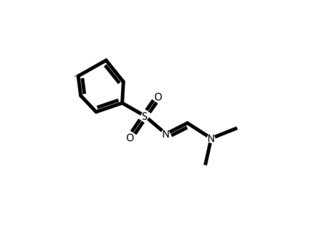 CN(C)C=NS(=O)(=O)c1cc[c]cc1